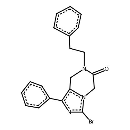 O=C1Cn2c(Br)nc(-c3ccccc3)c2CN1CCc1ccccc1